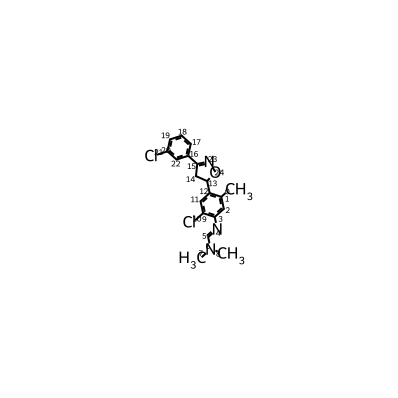 Cc1cc(N=CN(C)C)c(Cl)cc1C1CC(c2cccc(Cl)c2)=NO1